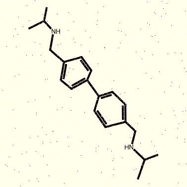 CC(C)NCc1ccc(-c2ccc(CNC(C)C)cc2)cc1